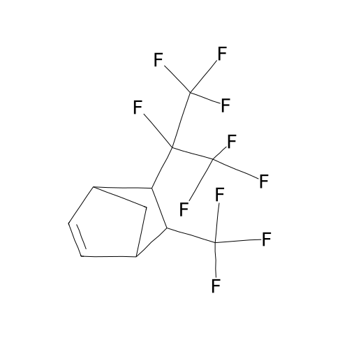 FC(F)(F)C1C2C=CC(C2)C1C(F)(C(F)(F)F)C(F)(F)F